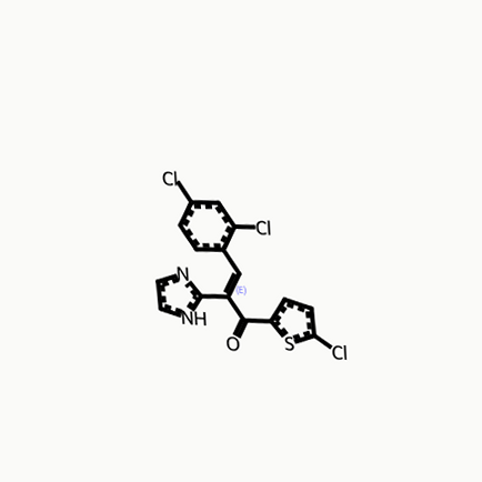 O=C(/C(=C/c1ccc(Cl)cc1Cl)c1ncc[nH]1)c1ccc(Cl)s1